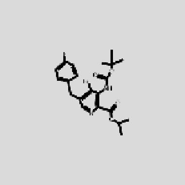 CC(C)OC(=O)c1ncc(Cc2ccc(F)cc2)c(Br)c1NC(=O)OC(C)(C)C